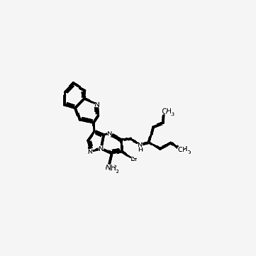 CCCC(CCC)NCc1nc2c(-c3cnc4ccccc4c3)cnn2c(N)c1Br